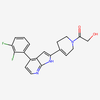 O=C(CO)N1CC=C(c2cc3c(-c4cccc(F)c4F)ccnc3[nH]2)CC1